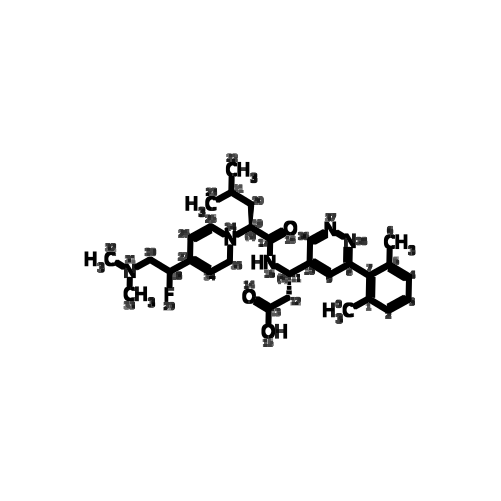 Cc1cccc(C)c1-c1cc([C@H](CC(=O)O)NC(=O)[C@H](CC(C)C)N2C=CC(C(F)CN(C)C)=CC2)cnn1